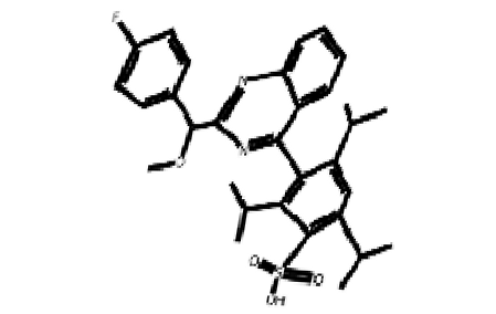 COC(c1ccc(F)cc1)c1nc(-c2c(C(C)C)cc(C(C)C)c(S(=O)(=O)O)c2C(C)C)c2ccccc2n1